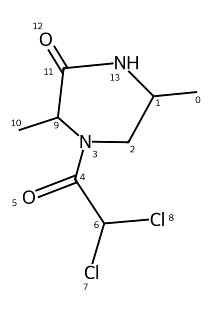 CC1CN(C(=O)C(Cl)Cl)C(C)C(=O)N1